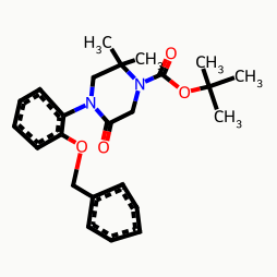 CC(C)(C)OC(=O)N1CC(=O)N(c2ccccc2OCc2ccccc2)CC1(C)C